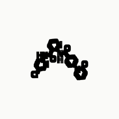 O=C(Nc1ncccc1C(=O)Nc1ccc(Cl)cn1)c1ccc(-n2ccccc2=O)cc1